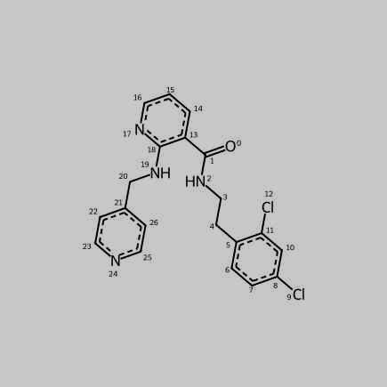 O=C(NCCc1ccc(Cl)cc1Cl)c1cccnc1NCc1ccncc1